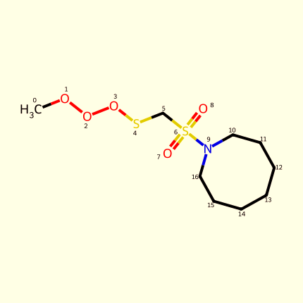 COOOSCS(=O)(=O)N1CCCCCCC1